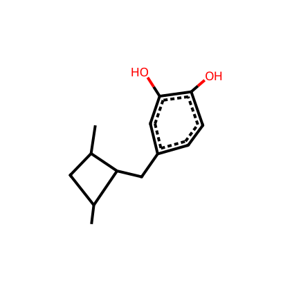 CC1CC(C)C1Cc1ccc(O)c(O)c1